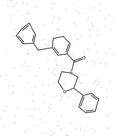 O=C(C1=CC[CH]C(Cc2ccccc2)=C1)N1CCOC(c2ccccc2)C1